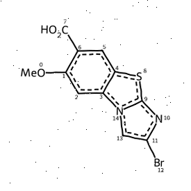 COc1cc2c(cc1C(=O)O)sc1nc(Br)cn12